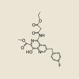 CCOC(=O)CC(=O)Nc1nc(C(=O)OC)c(O)c2ncc(Cc3ccc(F)cc3)cc12